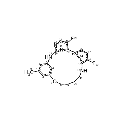 Cc1cc2cc(c1)OCCCCNc1cc(ccc1F)-c1nc(ncc1F)N2